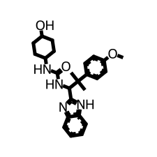 COc1ccc(C(C)(C)C(NC(=O)NC2CCC(O)CC2)c2nc3ccccc3[nH]2)cc1